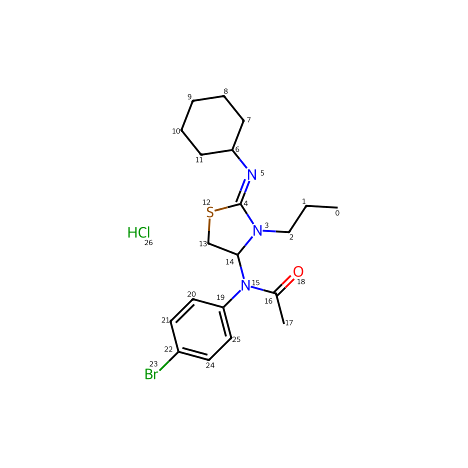 CCCN1C(=NC2CCCCC2)SCC1N(C(C)=O)c1ccc(Br)cc1.Cl